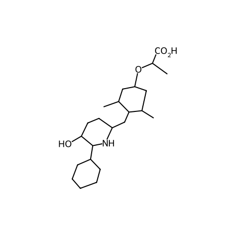 CC(OC1CC(C)C(CC2CCC(O)C(C3CCCCC3)N2)C(C)C1)C(=O)O